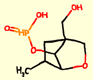 CC1CC2(CO)COC1C2O[PH](=O)O